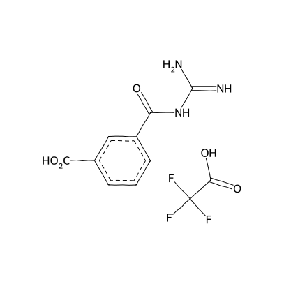 N=C(N)NC(=O)c1cccc(C(=O)O)c1.O=C(O)C(F)(F)F